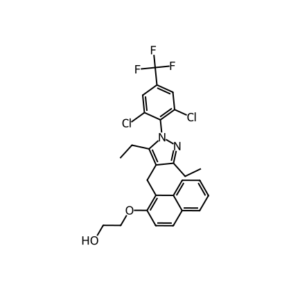 CCc1nn(-c2c(Cl)cc(C(F)(F)F)cc2Cl)c(CC)c1Cc1c(OCCO)ccc2ccccc12